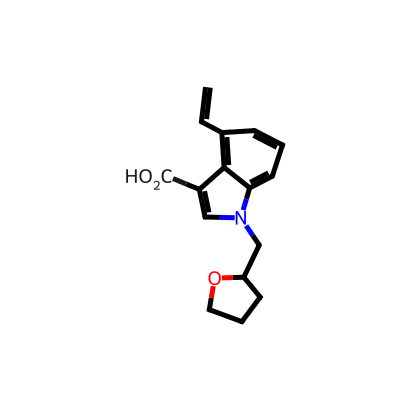 C=Cc1cccc2c1c(C(=O)O)cn2CC1CCCO1